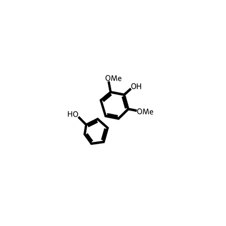 COc1cccc(OC)c1O.Oc1ccccc1